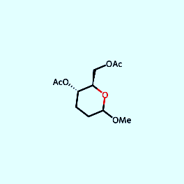 COC1CC[C@H](OC(C)=O)[C@@H](COC(C)=O)O1